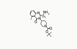 Cc1cccc2nc([C@H](C)N)n(C3CCN(C(=O)OC(C)(C)C)CC3)c(=O)c12